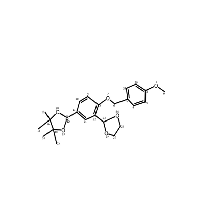 COc1ccc(COc2ccc(B3OC(C)(C)C(C)(C)O3)cc2C2OCCO2)cc1